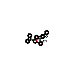 N#Cc1cccc(-c2ccc(-n3c4ccccc4c4ccccc43)cc2)c1-n1c2ccccc2c2cc3c(cc21)oc1ccccc13